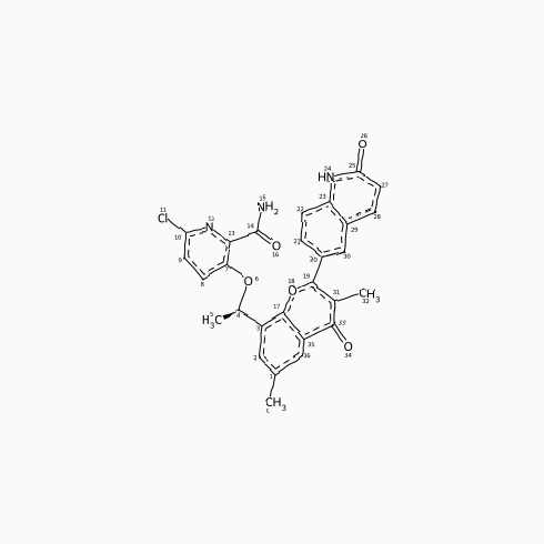 Cc1cc([C@@H](C)Oc2ccc(Cl)nc2C(N)=O)c2oc(-c3ccc4[nH]c(=O)ccc4c3)c(C)c(=O)c2c1